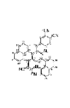 N#Cc1cc2nc3c(nc2cc1C#N)N(c1cccc2ccccc12)c1nc(C#N)c(C#N)nc1N3c1cccc2ccccc12